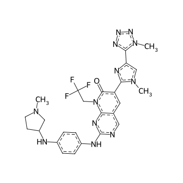 CN1CCC(Nc2ccc(Nc3ncc4cc(-c5nc(-c6nnnn6C)cn5C)c(=O)n(CC(F)(F)F)c4n3)cc2)C1